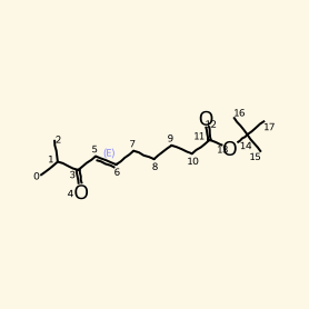 CC(C)C(=O)/C=C/CCCCC(=O)OC(C)(C)C